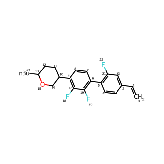 C=Cc1ccc(-c2ccc(C3CCC(CCCC)OC3)c(F)c2F)c(F)c1